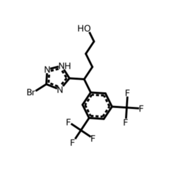 OCCCC(c1cc(C(F)(F)F)cc(C(F)(F)F)c1)c1nc(Br)n[nH]1